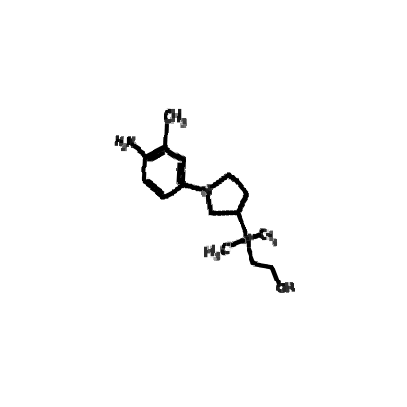 Cc1cc(N2CCC([N+](C)(C)CCO)C2)ccc1N